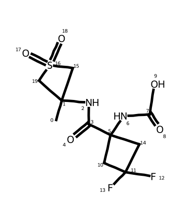 CC1(NC(=O)C2(NC(=O)O)CC(F)(F)C2)CS(=O)(=O)C1